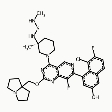 CNSN[C@@]1(C)CCCN(c2nc(OCC34CCCN3CCC4)nc3c(F)c(-c4cc(O)cc5ccc(F)c(Cl)c45)ncc23)C1